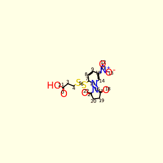 O=C(O)CCSSC1C=CC([N+](=O)[O-])=CN1N1C(=O)CCC1=O